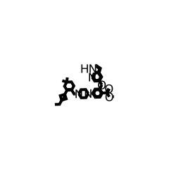 CCC12CC(C3=C(CN4CCN(c5ccc(C(=O)OC)c(Oc6cnc7[nH]ccc7c6)c5)CC4)CCC(C)(C)C3)(C1)C2